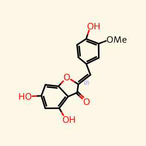 COc1cc(/C=C2\Oc3cc(O)cc(O)c3C2=O)ccc1O